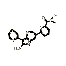 CC(C)N(C)C(=O)c1cccc(-c2cnc3c(-c4ccccn4)c(N)nn3c2)n1